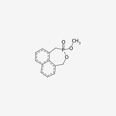 COP1(=O)Cc2cccc3cccc(c23)CO1